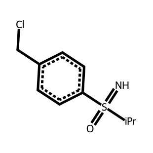 CC(C)S(=N)(=O)c1ccc(CCl)cc1